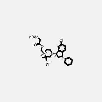 CCCCCCCCCCCC(=O)OC[N@+]1(C)CCN([C@@H]2C[C@@H](c3ccccc3)c3ccc(Cl)cc32)CC1(C)C.[Cl-]